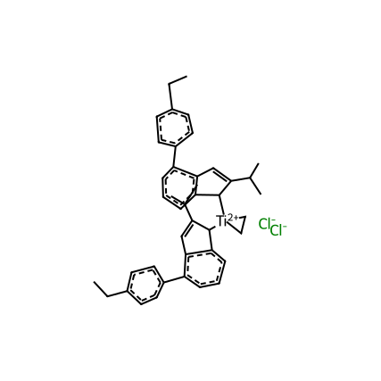 CCc1ccc(-c2cccc3c2C=C(C(C)C)[CH]3[Ti+2]2([CH]3C(C(C)C)=Cc4c(-c5ccc(CC)cc5)cccc43)[CH2][CH2]2)cc1.[Cl-].[Cl-]